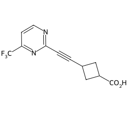 O=C(O)C1CC(C#Cc2nccc(C(F)(F)F)n2)C1